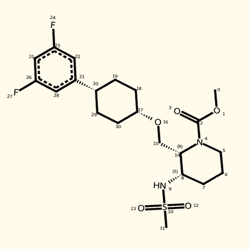 COC(=O)N1CCC[C@H](NS(C)(=O)=O)[C@@H]1CO[C@H]1CC[C@@H](c2cc(F)cc(F)c2)CC1